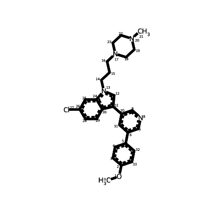 COc1ccc(-c2cncc(-c3cn(CCCN4CCN(C)CC4)c4cc(Cl)ccc34)c2)cc1